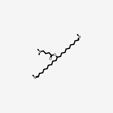 C/N=C\CCCCCCCCC(CCCCCCCC/C=N\C)OC(=O)CCCN(C)C